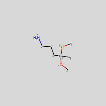 C[O][Ti]([CH3])([CH2]CCN)[O]C